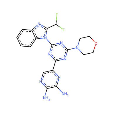 Nc1ncc(-c2nc(N3CCOCC3)nc(-n3c(C(F)F)nc4ccccc43)n2)nc1N